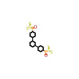 O=P(c1ccc(-c2cccc(-c3ccc(P(=O)=S(=S)=S)cc3)c2)cc1)=S(=S)=S